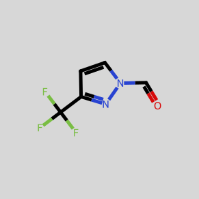 O=Cn1ccc(C(F)(F)F)n1